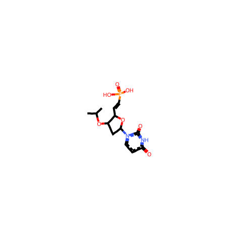 CC(C)OC1CC(n2ccc(=O)[nH]c2=O)OC1/C=C/P(=O)(O)O